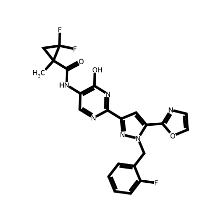 CC1(C(=O)Nc2cnc(-c3cc(-c4ncco4)n(Cc4ccccc4F)n3)nc2O)CC1(F)F